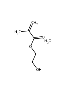 C=C(C)C(=O)OCCO.O